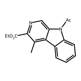 CCOC(=O)c1ncc2c(c1C)c1ccccc1n2C(C)=O